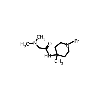 CC(C)N1CCC(C)(NC(=O)CN(C)C)CC1